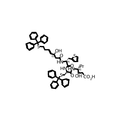 CC(C)[C@@H](NC(=O)[C@@H](CSC(c1ccccc1)(c1ccccc1)c1ccccc1)NC(=O)[C@@H](Cc1cccs1)NC(=O)C[C@H](O)C=CCCSC(c1ccccc1)(c1ccccc1)c1ccccc1)[C@@H](O)CC(=O)O